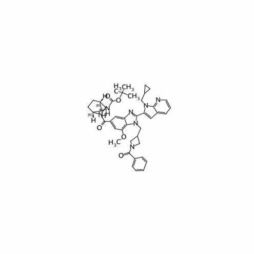 COc1cc(C(=O)N2C[C@H]3CC[C@@H]2[C@@H]3NC(=O)OC(C)(C)C)cc2nc(-c3cc4cccnc4n3CC3CC3)n(CC3CN(C(=O)c4ccccc4)C3)c12